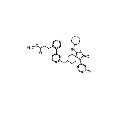 COC(=O)CCc1ccccc1-c1cccc(CN2CCC3(CC2)C(NC2CCCCC2)=NC(=O)N3c2cccc(F)c2)c1